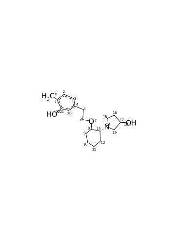 Cc1ccc(CCO[C@@H]2CCCC[C@H]2N2CC[C@@H](O)C2)cc1O